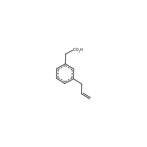 C=CCc1cccc(CC(=O)O)c1